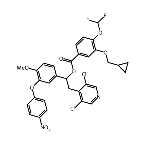 COc1ccc(C(Cc2c(Cl)cncc2Cl)OC(=O)c2ccc(OC(F)F)c(OCC3CC3)c2)cc1Oc1ccc([N+](=O)[O-])cc1